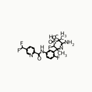 CC1(C)C(N)=N[C@](C)(c2cc(NC(=O)c3ccc(C(F)F)cn3)ccc2F)C(F)S1(=O)=O